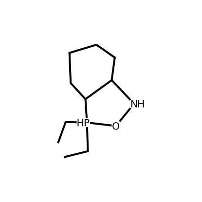 CC[PH]1(CC)ONC2CCCCC21